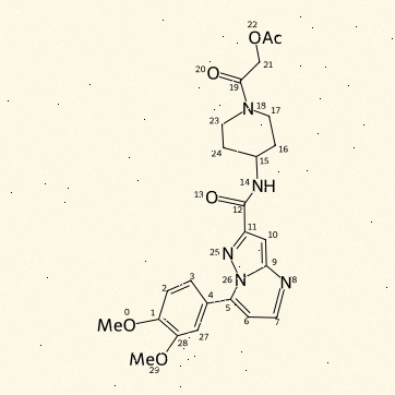 COc1ccc(-c2ccnc3cc(C(=O)NC4CCN(C(=O)COC(C)=O)CC4)nn23)cc1OC